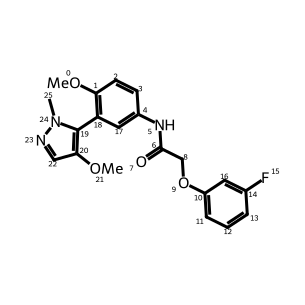 COc1ccc(NC(=O)COc2cccc(F)c2)cc1-c1c(OC)cnn1C